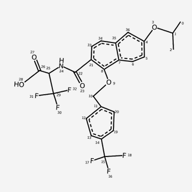 CC(C)Oc1ccc2c(OCc3ccc(C(F)(F)F)cc3)c(C(=O)NC(C(=O)O)C(F)(F)F)ccc2c1